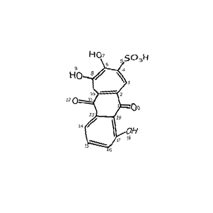 O=C1c2cc(S(=O)(=O)O)c(O)c(O)c2C(=O)c2cccc(O)c21